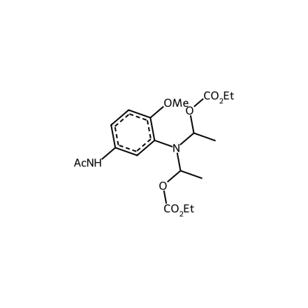 CCOC(=O)OC(C)N(c1cc(NC(C)=O)ccc1OC)C(C)OC(=O)OCC